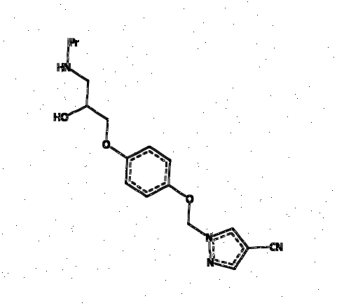 CC(C)NCC(O)COc1ccc(OCn2cc(C#N)cn2)cc1